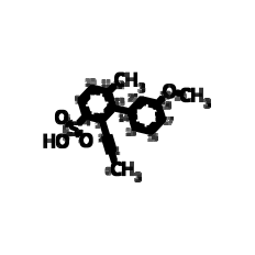 CC#Cc1c(S(=O)(=O)O)ccc(C)c1-c1cccc(OC)c1